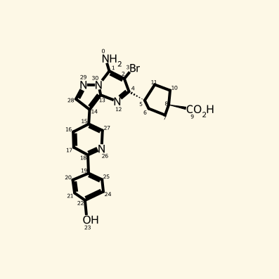 Nc1c(Br)c([C@H]2CC[C@H](C(=O)O)CC2)nc2c(-c3ccc(-c4ccc(O)cc4)nc3)cnn12